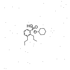 CCCc1cccc(P(=O)(O)OC2CCCCC2)c1CCC